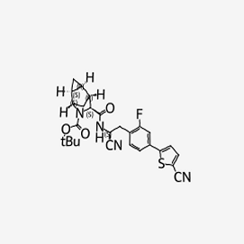 CC(C)(C)OC(=O)N1[C@H](C(=O)N[C@H](C#N)Cc2ccc(-c3ccc(C#N)s3)cc2F)[C@@H]2C[C@H]1[C@H]1C[C@@H]21